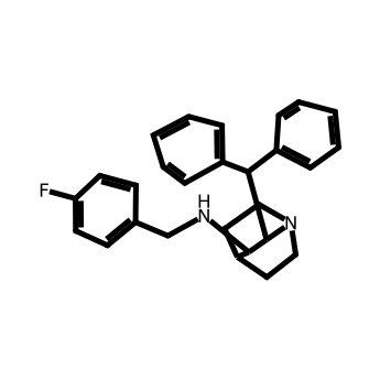 Fc1ccc(CNC2C3CCN(CC3)C2C(c2ccccc2)c2ccccc2)cc1